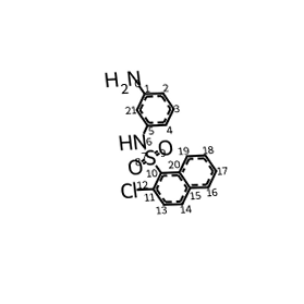 Nc1cccc(NS(=O)(=O)c2c(Cl)ccc3ccccc23)c1